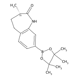 C[C@H]1CCc2ccc(B3OC(C)(C)C(C)(C)O3)cc2NC1=O